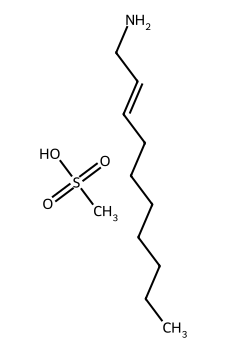 CCCCCCCC=CCN.CS(=O)(=O)O